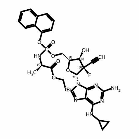 C#C[C@@]1(F)[C@H](O)[C@@H](COP(=O)(N[C@H](C)C(=O)OCC(C)(C)C)Oc2cccc3ccccc23)O[C@H]1n1cnc2c(NC3CC3)nc(N)nc21